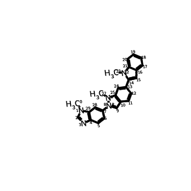 Cn1cnc2ccc(-[n+]3cc4ccc(-c5cc6ccccc6n5C)cc4n3C)cc21